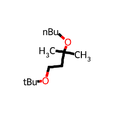 CCCCOC(C)(C)CCOC(C)(C)C